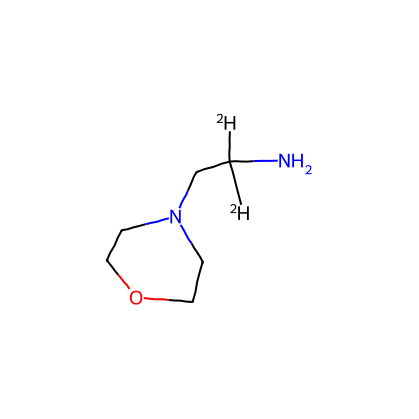 [2H]C([2H])(N)CN1CCOCC1